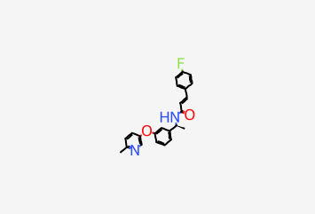 Cc1ccc(Oc2cccc([C@H](C)NC(=O)/C=C/c3ccc(F)cc3)c2)cn1